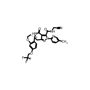 Cc1ccc(-n2nc3c(c2C(=O)NCC#N)C(=O)N[C@@]2(CCOc4cc(OCC(F)(F)F)ccc42)C3)nc1